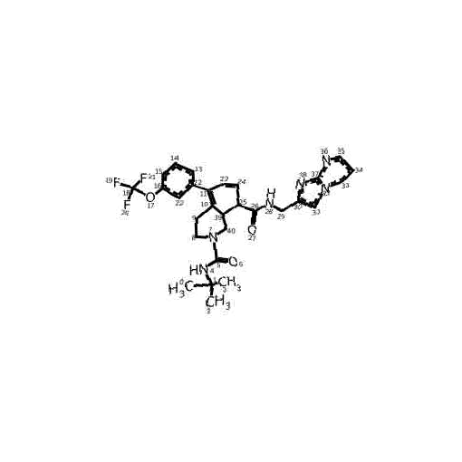 CC(C)(C)NC(=O)N1CCC2=C(c3cccc(OC(F)(F)F)c3)C=CC(C(=O)NCc3cn4cccnc4n3)C2C1